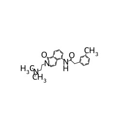 Cc1cccc(CC(=O)Nc2cccc3c(=O)n(CCN(C)C)ccc23)c1